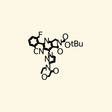 CC(C)(C)OC(=O)N1Cc2nc(-c3c(F)cccc3C#N)cc(-n3ccc(N4CCOCC4=O)n3)c2C1=O